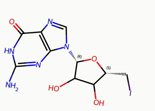 Nc1nc2c(ncn2[C@@H]2O[C@H](CI)C(O)C2O)c(=O)[nH]1